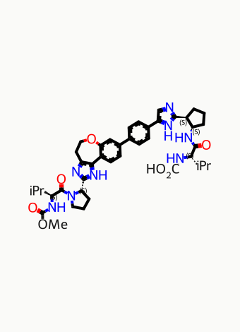 COC(=O)N[C@H](C(=O)N1CCC[C@H]1c1nc2c([nH]1)-c1ccc(-c3ccc(-c4cnc([C@H]5CCC[C@@H]5NC(=O)[C@@H](NC(=O)O)C(C)C)[nH]4)cc3)cc1OCC2)C(C)C